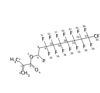 C=C(C)C(=O)OC(F)CC(F)(F)C(F)(F)C(F)(F)C(F)(F)C(F)(F)C(F)(F)C(F)(F)C(F)(F)F